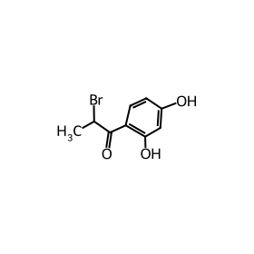 CC(Br)C(=O)c1ccc(O)cc1O